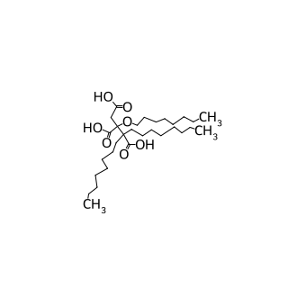 CCCCCCCCOC(CC(=O)O)(C(=O)O)C(CCCCCCCC)(CCCCCCCC)C(=O)O